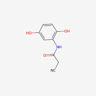 N#CCC(=O)Nc1cc(O)ccc1O